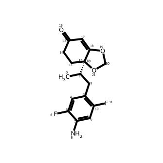 CC(Cc1cc(F)c(N)cc1F)[C@]12CCC(=O)C=C1OCO2